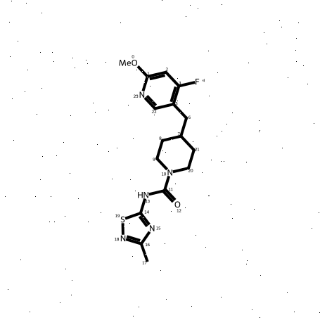 COc1cc(F)c(CC2CCN(C(=O)Nc3nc(C)ns3)CC2)cn1